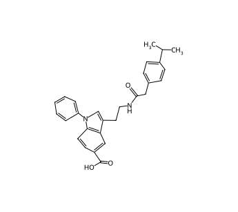 CC(C)c1ccc(CC(=O)NCCc2cn(-c3ccccc3)c3ccc(C(=O)O)cc23)cc1